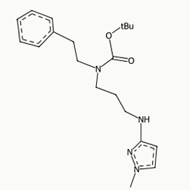 Cn1ccc(NCCCN(CCc2ccccc2)C(=O)OC(C)(C)C)n1